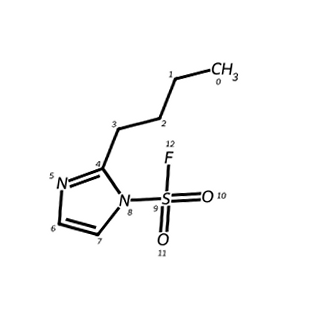 CCCCc1nccn1S(=O)(=O)F